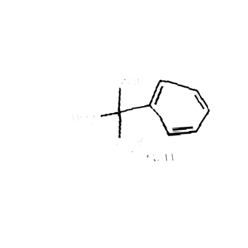 CCCCCCCCCC(C(=O)O)(C(=O)O)c1ccccc1.[NaH]